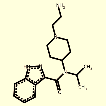 CC(C)N(C(=O)c1n[nH]c2ccccc12)C1CCN(CCN)CC1